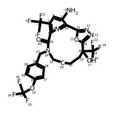 Nc1cc(C(F)(F)F)c2nc1-c1nnc(o1)C(O)(C(F)(F)F)CCCCN(Cc1ccc(OC(F)(F)F)cc1)C2=O